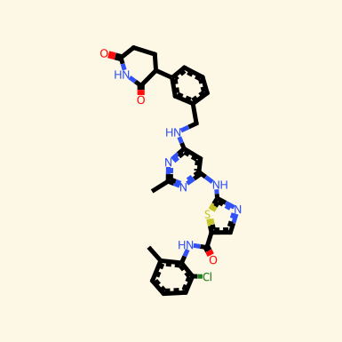 Cc1nc(NCc2cccc(C3CCC(=O)NC3=O)c2)cc(Nc2ncc(C(=O)Nc3c(C)cccc3Cl)s2)n1